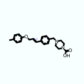 Cc1ccc(OC/C=C/c2ccc(CN3CCN(C(=O)O)CC3)cc2)cc1